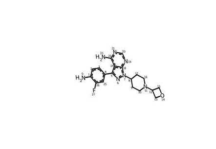 Nc1ccc(-c2nn(C3CCN(C4COC4)CC3)c3ncnc(N)c23)cc1F